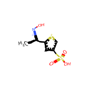 C/C(=N/O)c1cc(S(=O)(=O)O)cs1